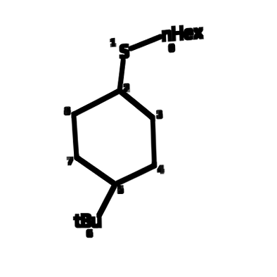 CCCCCCSC1CCC(C(C)(C)C)CC1